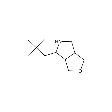 CC(C)(C)CC1NCC2COCC21